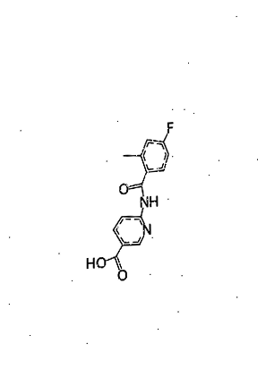 Cc1cc(F)ccc1C(=O)Nc1ccc(C(=O)O)cn1